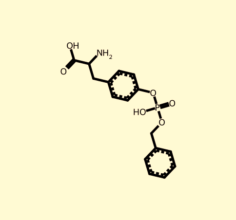 NC(Cc1ccc(OP(=O)(O)OCc2ccccc2)cc1)C(=O)O